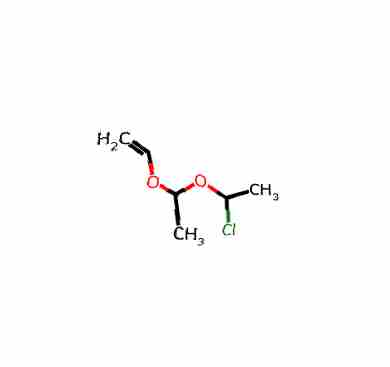 C=COC(C)OC(C)Cl